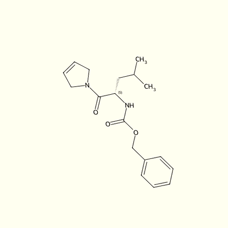 CC(C)C[C@H](NC(=O)OCc1ccccc1)C(=O)N1CC=CC1